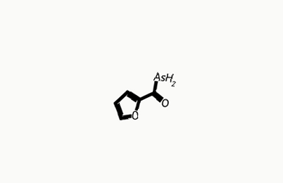 O=C([AsH2])c1ccco1